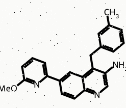 COc1cccc(-c2ccc3ncc(N)c(Cc4cccc(C)c4)c3c2)n1